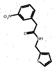 O=C(Cc1cccc([N+](=O)[O-])c1)NCc1cccs1